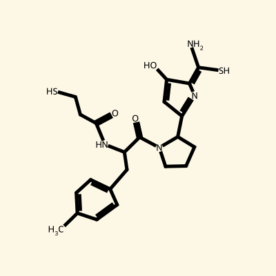 Cc1ccc(CC(NC(=O)CCS)C(=O)N2CCCC2C2=N/C(=C(/N)S)C(O)=C2)cc1